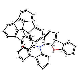 C1=C=C(c2ccccc2N(c2ccc3c(c2)C24c5ccccc5-c5cccc(c52)-c2cccc-3c24)c2cccc3c2oc2ccccc23)C=CC=1